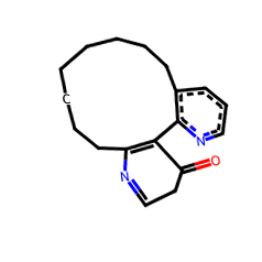 O=C1CC=NC2=C1c1ncccc1CCCCCCCC2